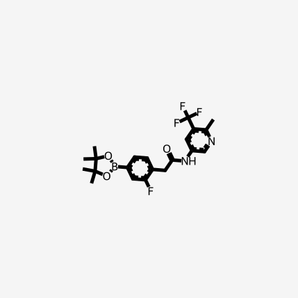 Cc1ncc(NC(=O)Cc2ccc(B3OC(C)(C)C(C)(C)O3)cc2F)cc1C(F)(F)F